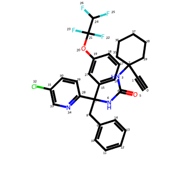 C#CC1(NC(=O)NC(Cc2ccccc2)(c2cccc(OC(F)(F)C(F)F)c2)c2ccc(Cl)cn2)CCCCC1